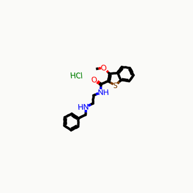 COc1c(C(=O)NCCNCc2ccccc2)sc2ccccc12.Cl